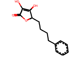 O=C1OC(CCCCc2ccccc2)C(O)=C1O